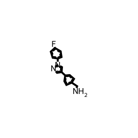 NCc1ccc(-c2cnn(-c3ccc(F)cc3)c2)cc1